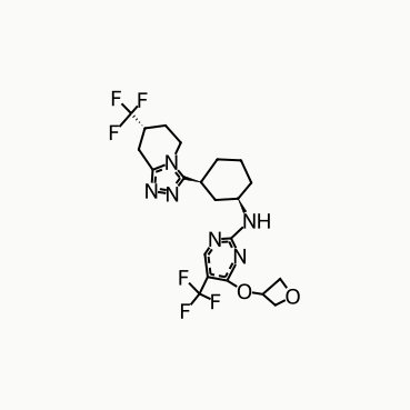 FC(F)(F)c1cnc(N[C@@H]2CCC[C@H](c3nnc4n3CC[C@@H](C(F)(F)F)C4)C2)nc1OC1COC1